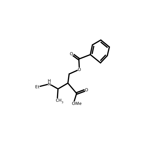 CCNC(C)C(COC(=O)c1ccccc1)C(=O)OC